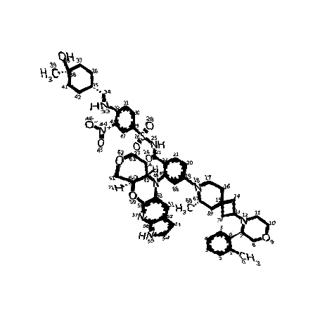 Cc1ccccc1[C@@H]1COCCN1C1CC2(CCN(c3ccc(C(=O)NS(=O)(=O)c4ccc(NC[C@H]5CC[C@](C)(O)CC5)c([N+](=O)[O-])c4)c(N4c5cc6cc[nH]c6nc5O[C@H]5COCC[C@@H]54)c3)[C@@H](C)C2)C1